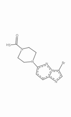 O=C(S)N1CCN(c2ccc3ncc(Br)n3n2)CC1